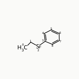 CC[Si]c1ccccc1